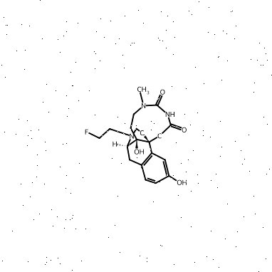 CN1CC[C@@]2(O)[C@H]3Cc4ccc(O)cc4[C@@]2(CCN3CCF)CC(=O)NC1=O